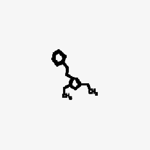 CCC1=CC(CCc2ccccc2)=C(CC)C1